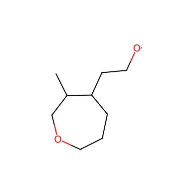 CC1COCCCC1CC[O]